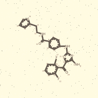 Nc1nc(Nc2ccc(C(=O)NCCc3cccs3)cc2)sc1C(=O)c1c(F)cccc1F